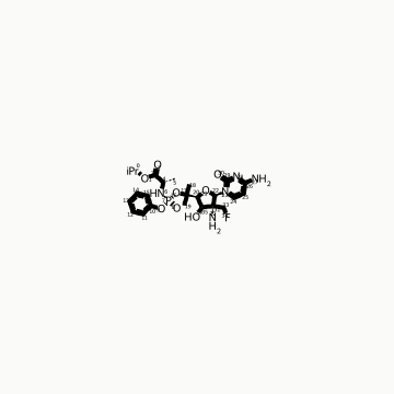 CC(C)OC(=O)[C@H](C)N[P@](=O)(Oc1ccccc1)OC(C)(C)[C@H]1O[C@@H](n2ccc(N)nc2=O)[C@@](N)(CF)C1O